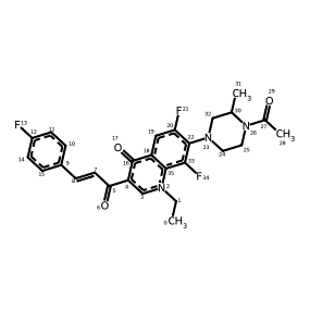 CCn1cc(C(=O)C=Cc2ccc(F)cc2)c(=O)c2cc(F)c(N3CCN(C(C)=O)C(C)C3)c(F)c21